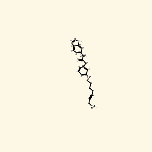 CCC#CCCCCOc1cccc(CC(=O)Nc2ccc3ncsc3c2)c1